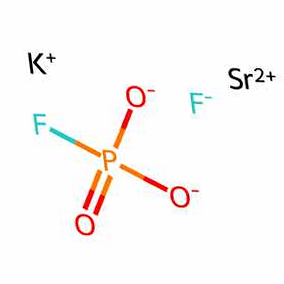 O=P([O-])([O-])F.[F-].[K+].[Sr+2]